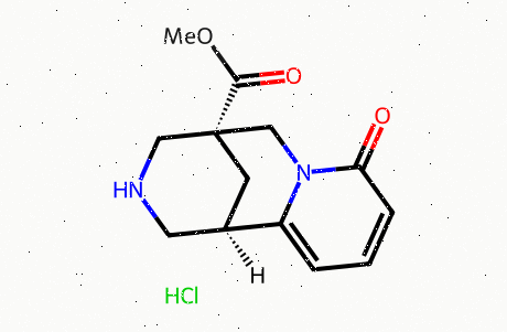 COC(=O)[C@@]12CNC[C@@H](C1)c1cccc(=O)n1C2.Cl